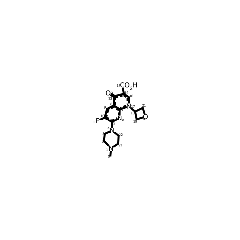 CN1CCN(c2nc3c(cc2F)c(=O)c(C(=O)O)cn3C2COC2)CC1